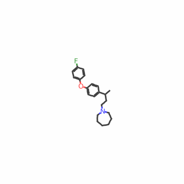 CC(CCN1CCCCCC1)c1ccc(Oc2ccc(F)cc2)cc1